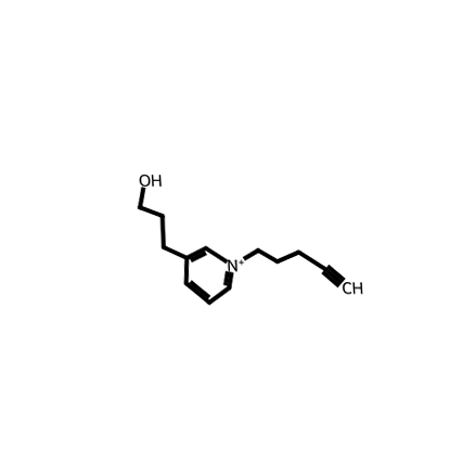 C#CCCC[n+]1cccc(CCCO)c1